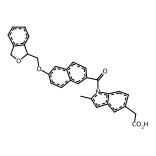 Cc1cc2cc(CC(=O)O)ccc2n1C(=O)c1ccc2cc(OCC3OCc4ccccc43)ccc2c1